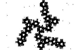 c1cc(-c2cc(-c3cccc(-n4c5ccccc5c5cc(-c6ccc7c(c6)sc6ccccc67)ccc54)c3)nc(-c3cccc(-n4c5ccccc5c5cc(-c6ccc7c(c6)sc6ccccc67)ccc54)c3)n2)cc(-n2c3ccccc3c3cc(-c4ccc5c(c4)sc4ccccc45)ccc32)c1